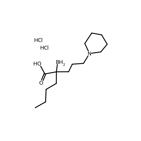 BC(CCCC)(CCCN1CCCCC1)C(=O)O.Cl.Cl